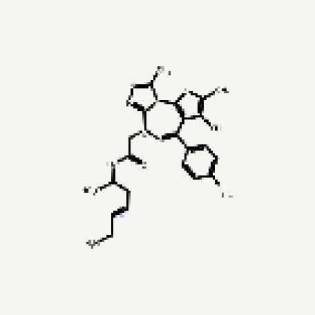 Cc1sc2c(c1C)C(c1ccc(Cl)cc1)=N[C@@H](CC(=O)NC(C/C=C/CN)C(=O)O)c1nnc(C)n1-2.Cl